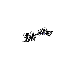 C=CN1/C(=C(\C)C(=O)OCCCOC(=O)c2ncn3c2CN(C)C(=O)c2cc(CC)ccc2-3)CN(C)C(=O)c2cc(CC)ccc21